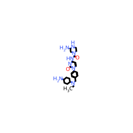 CCN(Cc1ccc(-n2ccc(NC(=O)N3CCN[C@H](N)C3)nc2=O)cc1)C1CCC(N)CC1